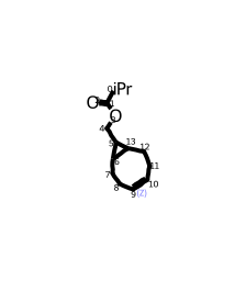 CC(C)C(=O)OCC1C2CC/C=C\CCC21